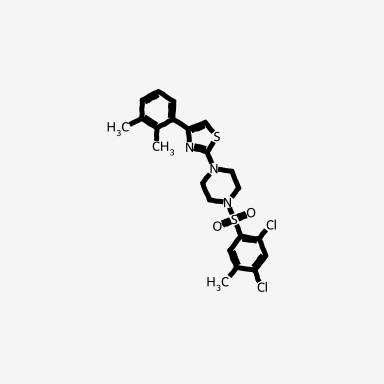 Cc1cc(S(=O)(=O)N2CCN(c3nc(-c4cccc(C)c4C)cs3)CC2)c(Cl)cc1Cl